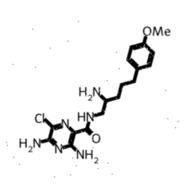 COc1ccc(CCCC(N)CNC(=O)c2nc(Cl)c(N)nc2N)cc1